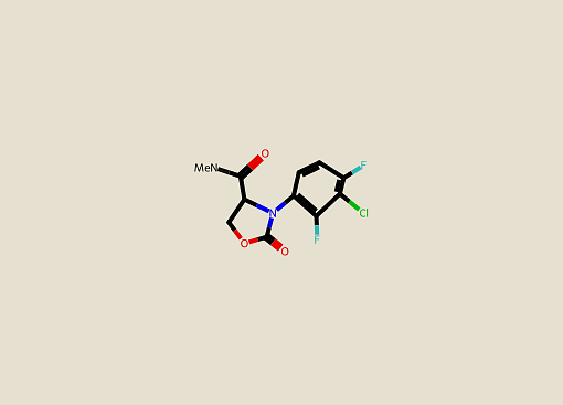 CNC(=O)C1COC(=O)N1c1ccc(F)c(Cl)c1F